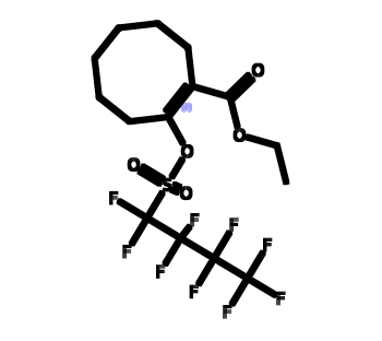 CCOC(=O)/C1=C(\OS(=O)(=O)C(F)(F)C(F)(F)C(F)(F)C(F)(F)F)CCCCCC1